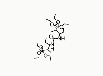 CCO[Si](OCC)(OCC)C(C)C(CC)NC(=O)NC(CC)C(C)[Si](OCC)(OCC)OCC